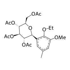 CCOc1c(OC)cc(C)cc1[C@@H]1O[C@H](COC(C)=O)[C@@H](OC(C)=O)[C@H](OC(C)=O)[C@H]1OC(C)=O